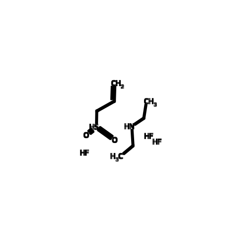 C=CC[SH](=O)=O.CCNCC.F.F.F